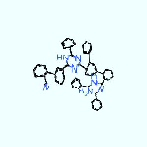 N#Cc1ccccc1-c1cccc(C2N=C(c3ccc(-c4ccccc4/C(=N/Cc4ccccc4)NC(N)c4ccccc4)cc3-c3ccccc3)N=C(c3ccccc3)N2)c1